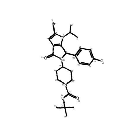 CC(C)n1c(Br)cc2c1C(c1ccc(Cl)cc1)N(C1CCN(C(=O)OC(C)(C)C)CC1)C2=O